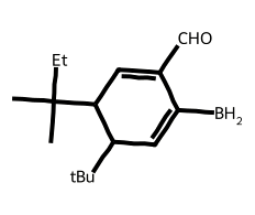 BC1=CC(C(C)(C)C)C(C(C)(C)CC)C=C1C=O